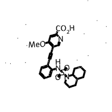 COc1cc(C(=O)O)ncc1C#Cc1ccccc1NS(=O)(=O)N1CCCC2CCCCC21